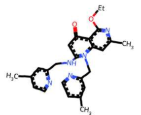 CCOc1nc(C)cc2c1c(=O)cc(NCc1cc(C)ccn1)n2Cc1cc(C)ccn1